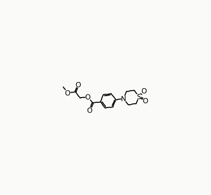 COC(=O)COC(=O)c1ccc(N2CCS(=O)(=O)CC2)cc1